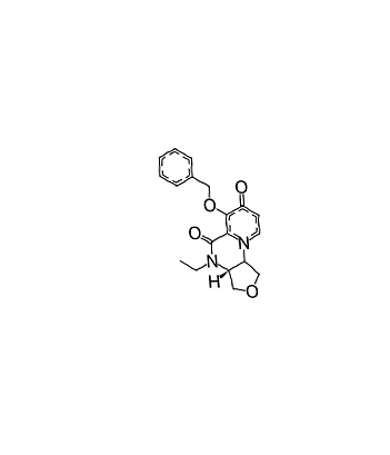 CCN1C(=O)c2c(OCc3ccccc3)c(=O)ccn2C2COC[C@@H]21